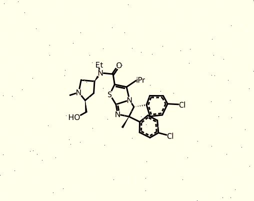 CCN(C(=O)C1=C(C(C)C)N2C(=N[C@@](C)(c3ccc(Cl)cc3)[C@H]2c2ccc(Cl)cc2)S1)[C@H]1C[C@@H](CO)N(C)C1